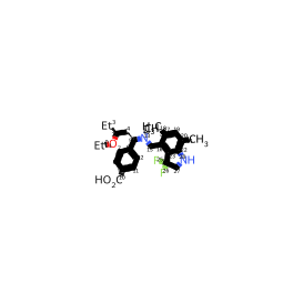 CCO[C@@H](CC)C[C@@H](c1ccc(C(=O)O)cc1)N(C)Cc1c(C)cc(C)c2c1C(F)(F)CN2